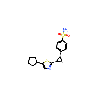 NS(=O)(=O)c1ccc([C@@H]2C[C@H]2c2ncc(C3CCCC3)s2)cc1